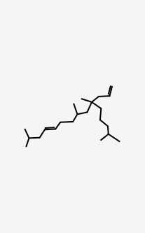 C=CCC(C)(CCCC(C)C)CC(C)CCC=CCC(C)C